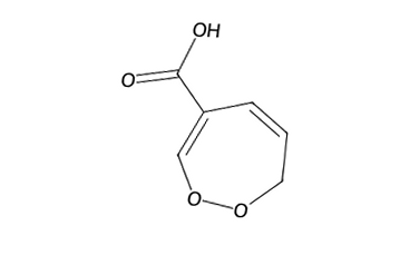 O=C(O)C1=COOCC=C1